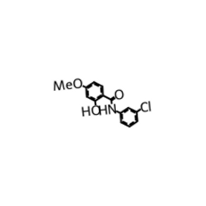 COc1ccc(C(=O)Nc2cccc(Cl)c2)c(O)c1